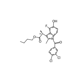 CCCCOC(=O)[C@@H](C)c1c(C)n(C(=O)c2ccc(Cl)c(Cl)c2)c2ccc(O)c(F)c12